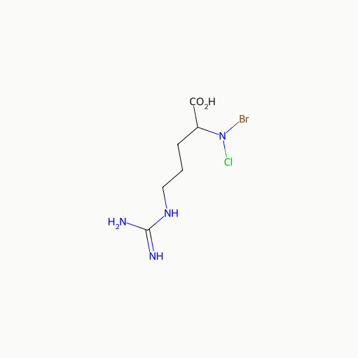 N=C(N)NCCCC(C(=O)O)N(Cl)Br